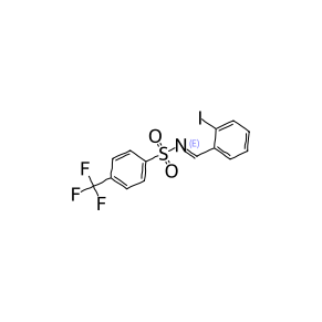 O=S(=O)(/N=C/c1ccccc1I)c1ccc(C(F)(F)F)cc1